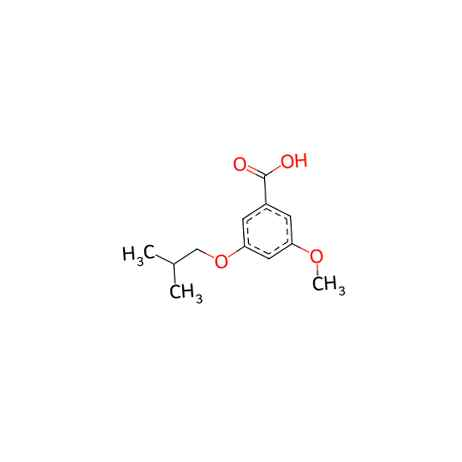 COc1cc(OCC(C)C)cc(C(=O)O)c1